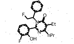 CCCc1nc(-c2cccc(F)c2O)n(C(CF)c2ccccc2)c(=O)c1CC